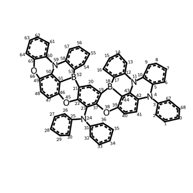 c1ccc(N2c3ccccc3N3c4ccccc4B4c5cc6c(c(N(c7ccccc7)c7ccccc7)c5Oc5ccc2c3c54)Oc2ccc3c4c2B6c2ccccc2N4c2ccccc2O3)cc1